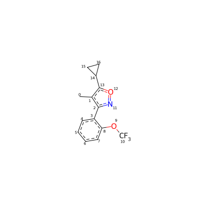 Cc1c(-c2ccccc2OC(F)(F)F)noc1C1CC1